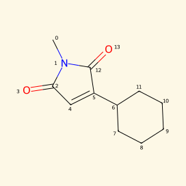 CN1C(=O)C=C(C2CCCCC2)C1=O